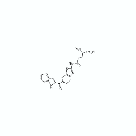 NC(CCC(=O)Nc1nc2c(s1)CN(C(=O)c1cc3ccccc3[nH]1)CC2)C(=O)O